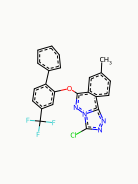 Cc1ccc2c(c1)c(Oc1cc(C(F)(F)F)ccc1-c1ccccc1)nn1c(Cl)nnc21